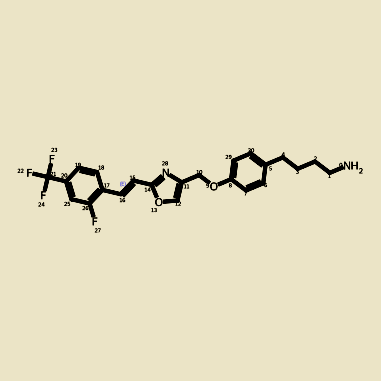 NCCCCc1ccc(OCc2coc(/C=C/c3ccc(C(F)(F)F)cc3F)n2)cc1